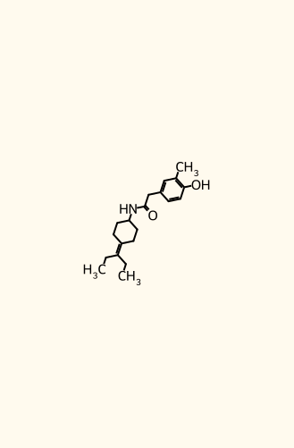 CCC(CC)=C1CCC(NC(=O)Cc2ccc(O)c(C)c2)CC1